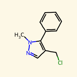 Cn1ncc(CCl)c1-c1ccccc1